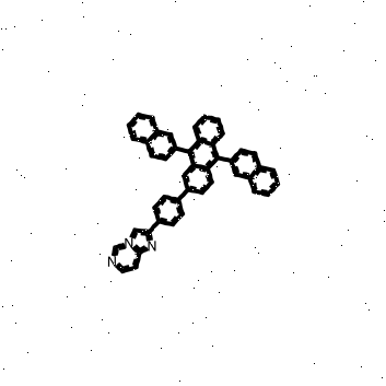 c1ccc2cc(-c3c4ccccc4c(-c4ccc5ccccc5c4)c4cc(-c5ccc(-c6cn7cnccc7n6)cc5)ccc34)ccc2c1